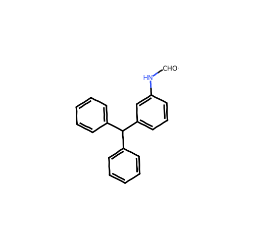 O=[C]Nc1cccc(C(c2ccccc2)c2ccccc2)c1